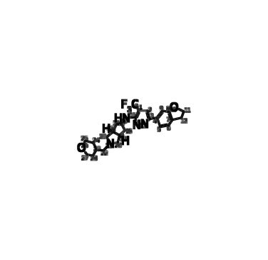 FC(F)(F)c1cc(-c2ccc3c(c2)OCC3)nnc1N[C@H]1C[C@@H]2CN(CC3CCOCC3)C[C@@H]2C1